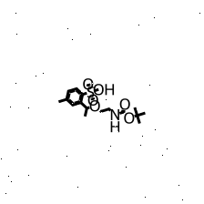 Cc1ccc(S(=O)(=O)O)c(C(C)OCCNC(=O)OC(C)(C)C)c1